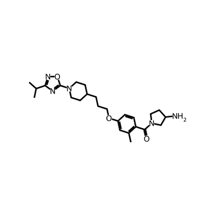 Cc1cc(OCCCC2CCN(c3nc(C(C)C)no3)CC2)ccc1C(=O)N1CCC(N)C1